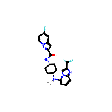 CN(c1cccc2nc(C(F)F)cn12)[C@H]1CC[C@@H](NC(=O)c2cc3cc(F)ccn3n2)CC1